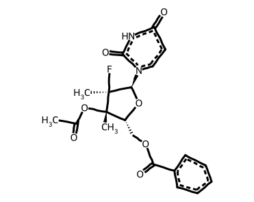 CC(=O)O[C@@]1(C)[C@@H](COC(=O)c2ccccc2)O[C@H](n2ccc(=O)[nH]c2=O)[C@]1(C)F